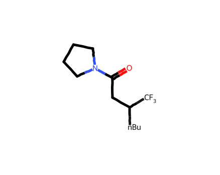 CCCCC(CC(=O)N1CCCC1)C(F)(F)F